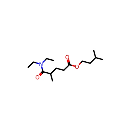 CCN(CC)C(=O)C(C)CCC(=O)OCCC(C)C